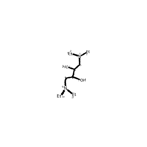 CCN(CC)CC(O)C(O)CN(CC)CC